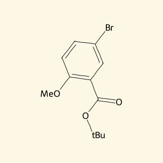 COc1ccc(Br)cc1C(=O)OC(C)(C)C